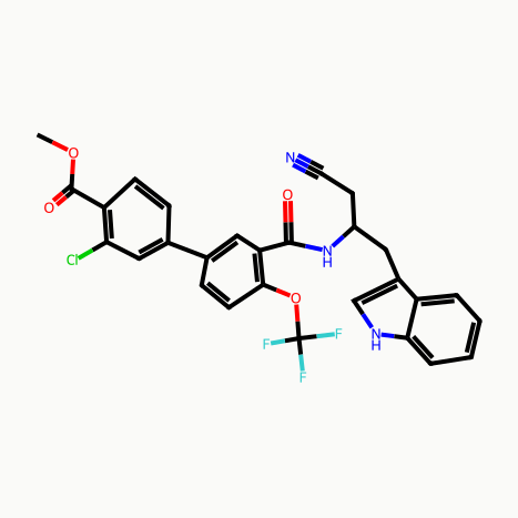 COC(=O)c1ccc(-c2ccc(OC(F)(F)F)c(C(=O)NC(CC#N)Cc3c[nH]c4ccccc34)c2)cc1Cl